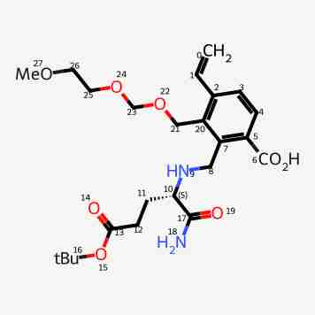 C=Cc1ccc(C(=O)O)c(CN[C@@H](CCC(=O)OC(C)(C)C)C(N)=O)c1COCOCCOC